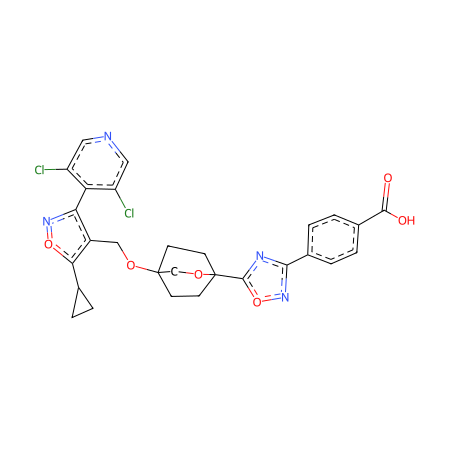 O=C(O)c1ccc(-c2noc(C34CCC(OCc5c(-c6c(Cl)cncc6Cl)noc5C5CC5)(CC3)CO4)n2)cc1